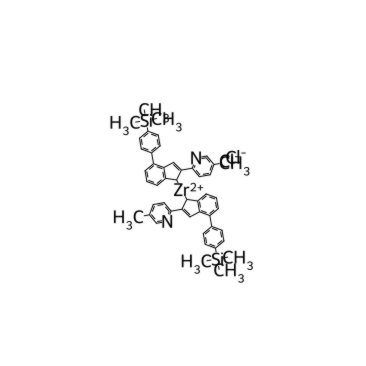 Cc1ccc(C2=Cc3c(-c4ccc([Si](C)(C)C)cc4)cccc3[CH]2[Zr+2][CH]2C(c3ccc(C)cn3)=Cc3c(-c4ccc([Si](C)(C)C)cc4)cccc32)nc1.[Cl-].[Cl-]